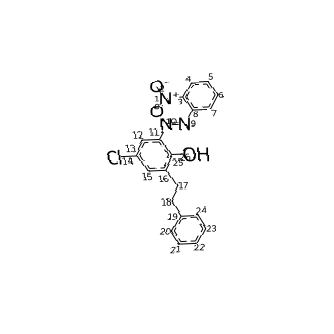 O=[N+]([O-])c1ccccc1/N=N/c1cc(Cl)cc(CCc2ccccc2)c1O